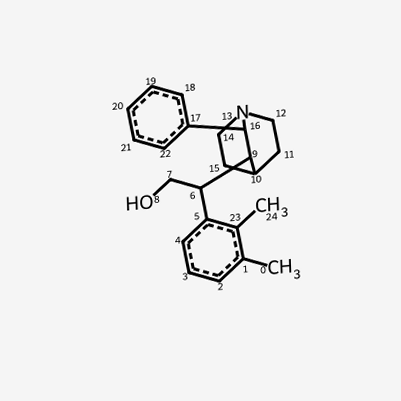 Cc1cccc(C(CO)C2C3CCN(CC3)C2c2ccccc2)c1C